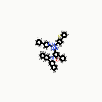 c1ccc(-c2ccc(C3=NC(c4cc(-n5c6cc7ccccc7cc6c6cc7ccccc7cc65)c5oc6ccccc6c5c4)=NC(c4ccc5c(c4)sc4ccccc45)N3)cc2)cc1